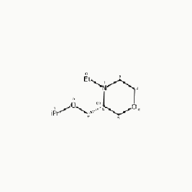 CCN1CCOC[C@@H]1COC(C)C